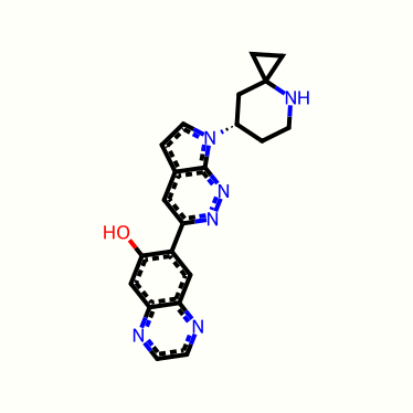 Oc1cc2nccnc2cc1-c1cc2ccn([C@H]3CCNC4(CC4)C3)c2nn1